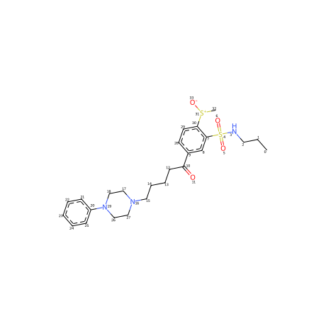 CCCNS(=O)(=O)c1cc(C(=O)CCCCN2CCN(c3ccccc3)CC2)ccc1[S+](C)[O-]